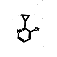 Brc1cccnc1C1[CH]C1